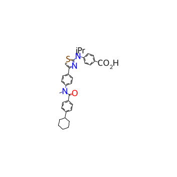 CC(C)N(c1ccc(C(=O)O)cc1)c1nc(-c2ccc(N(C)C(=O)c3ccc(C4CCCCC4)cc3)cc2)cs1